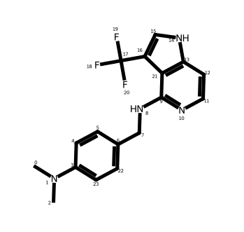 CN(C)c1ccc(CNc2nccc3[nH]cc(C(F)(F)F)c23)cc1